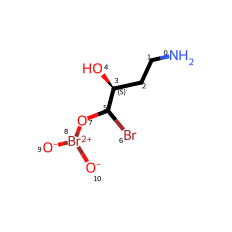 NCC[C@H](O)C(Br)O[Br+2]([O-])[O-]